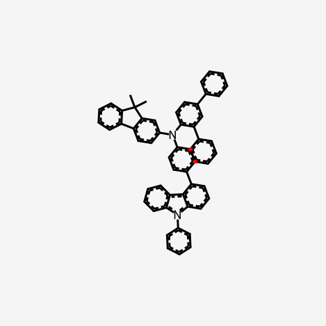 CC1(C)c2ccccc2-c2ccc(N(c3ccc(-c4cccc5c4c4ccccc4n5-c4ccccc4)cc3)c3ccc(-c4ccccc4)cc3-c3ccccc3)cc21